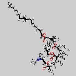 C=C(C)C(=O)OC.C=C(C)C(=O)OCC(C)C.C=C(C)C(=O)OCCCCCCCCCCCCCCCCCC.C=C(C)C(=O)OCCN(C)C